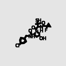 CC(C)(S)C(NC(=O)C1(F)CC1)C(=O)N1C[C@H](O)C[C@H]1C(=O)NCc1ccc(Cl)cc1